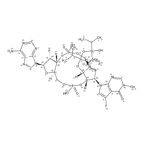 CC(C)[Si](O)(O[Si](O[C@H]1[C@H]2OP(=O)(O)OC[C@H]3O[C@@H](n4cnc5c(N)ncnc54)[C@H](F)[C@@H]3OP(=O)(O)OC[C@@H]1O[C@H]2n1cc(F)c2c(=O)n(C)cnc21)(C(C)C)C(C)C)C(C)C